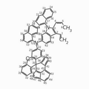 C=Cc1c(/C=C\C)n(-c2cccc3ccccc23)c2cc(N(c3ccc4c(c3)Oc3ccccc3C43c4ccccc4-c4cccc5cccc3c45)c3cccc4ccccc34)ccc12